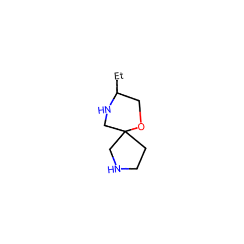 CCC1COC2(CCNC2)CN1